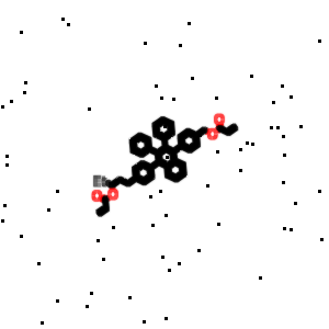 C=CC(=O)OCc1ccc(-c2c(-c3ccccc3)c(-c3ccccc3)c(-c3ccc(CCC(CC)OC(=O)C=C)cc3)c3ccccc23)cc1